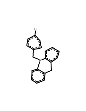 Clc1ccc(CN2c3ccccc3Cc3ccccc32)cc1